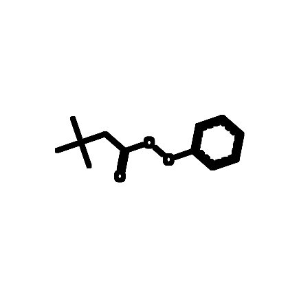 CC(C)(C)CC(=O)OOc1ccccc1